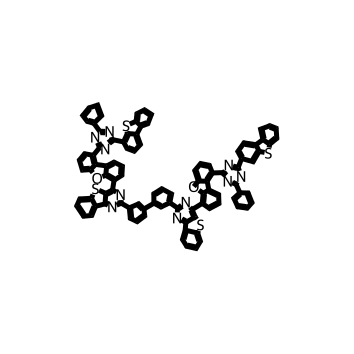 c1ccc(-c2nc(-c3ccc4c(c3)sc3ccccc34)nc(-c3cccc4oc5c(-c6nc(-c7cccc(-c8cccc(-c9nc(-c%10cccc%11c%10oc%10cccc(-c%12nc(-c%13ccccc%13)nc(-c%13cccc%14c%13sc%13ccccc%13%14)n%12)c%10%11)c%10sc%11ccccc%11c%10n9)c8)c7)nc7c6sc6ccccc67)cccc5c34)n2)cc1